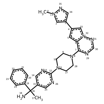 Cn1cc(-c2cc3c(N4CCN(c5ncc(C(C)(N)c6ccccc6)cn5)CC4)ncnn3c2)cn1